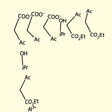 CC(=O)CC(=O)[O-].CC(=O)CC(=O)[O-].CC(=O)CC(=O)[O-].CC(C)O.CC(C)O.CCOC(=O)CC(C)=O.CCOC(=O)CC(C)=O.CCOC(=O)CC(C)=O.[Al+3]